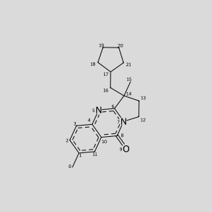 Cc1ccc2nc3n(c(=O)c2c1)CCC3(C)CC1CCCC1